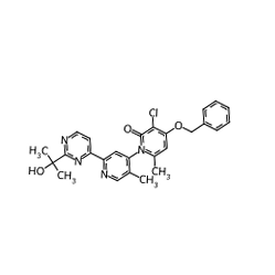 Cc1cnc(-c2ccnc(C(C)(C)O)n2)cc1-n1c(C)cc(OCc2ccccc2)c(Cl)c1=O